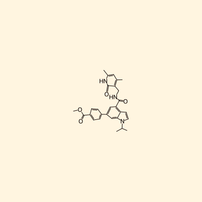 COC(=O)c1ccc(-c2cc(C(=O)NCc3c(C)cc(C)[nH]c3=O)c3ccn(C(C)C)c3c2)cc1